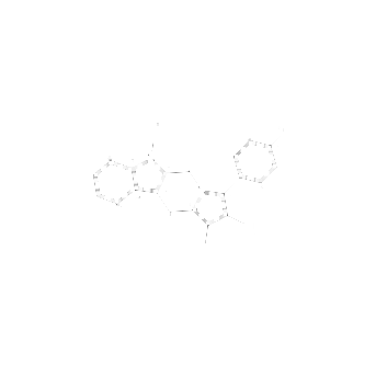 [CH]c1c([CH])c(-c2ccc(Cl)cc2)n2c1Cc1c(n(C)c3ccccc13)C2